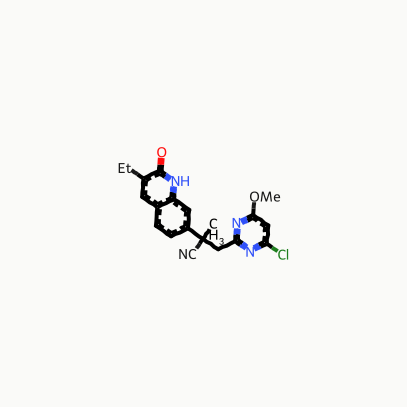 CCc1cc2ccc(C(C)(C#N)Cc3nc(Cl)cc(OC)n3)cc2[nH]c1=O